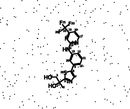 CC(O)(CO)c1ncc(-c2cccc(Nc3nccc(C(F)(F)F)n3)c2)s1